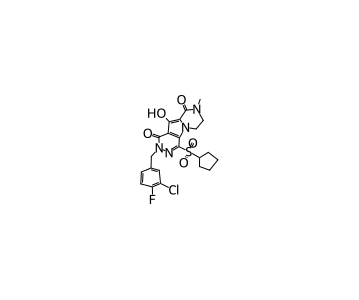 CN1CCn2c(c(O)c3c(=O)n(Cc4ccc(F)c(Cl)c4)nc(S(=O)(=O)C4CCCC4)c32)C1=O